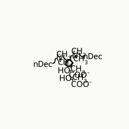 CC(O)C(=O)[O-].CC(O)C(=O)[O-].CCCCCCCCCCCC[N+](C)(C)Cc1ccccc1C[N+](C)(C)CCCCCCCCCCCC